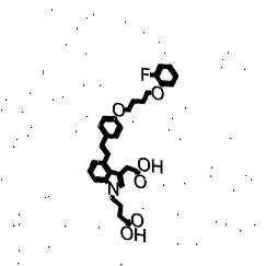 O=C(O)CCCn1cc(CC(=O)O)c2c(C=Cc3ccc(OCCCCOc4ccccc4F)cc3)cccc21